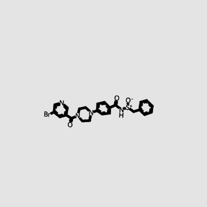 O=C(N[S+]([O-])Cc1ccccc1)c1ccc(N2CCN(C(=O)c3cncc(Br)c3)CC2)cc1